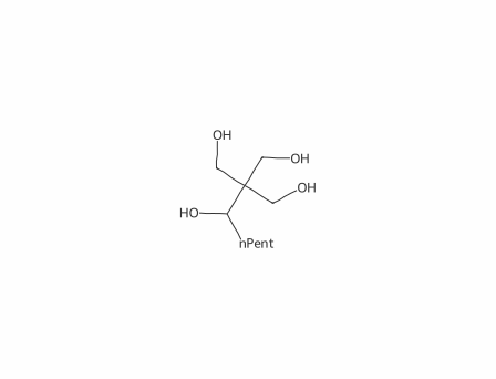 CCCCCC(O)C(CO)(CO)CO